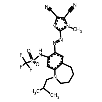 CC(C)CN1CCCCc2cc(N=Nc3nc(C#N)c(C#N)n3C)c(NS(=O)(=O)C(F)(F)F)cc21